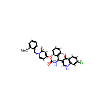 COc1ccccc1Cn1ccc(OC(=O)NC(c2ccccc2)c2c[nH]c3cc(Cl)ccc3c2=O)cc1=O